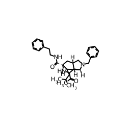 CC(=O)C1N[C@@]2(C(=O)NCCc3ccccc3)C[C@@H]3CN(Cc4ccccc4)[C@@H]([C@H]13)[C@H]2CC(C)C